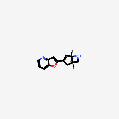 C1=C(c2cc3ncccc3o2)C[C@H]2CN[C@@H]12